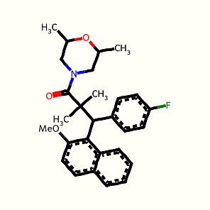 COc1ccc2ccccc2c1C(c1ccc(F)cc1)C(C)(C)C(=O)N1CC(C)OC(C)C1